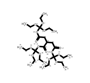 CCOC(OCC)(OCC)OC(=O)CC(CC(=O)OC(OCC)(OCC)OCC)C(=O)OC(OCC)(OCC)OCC